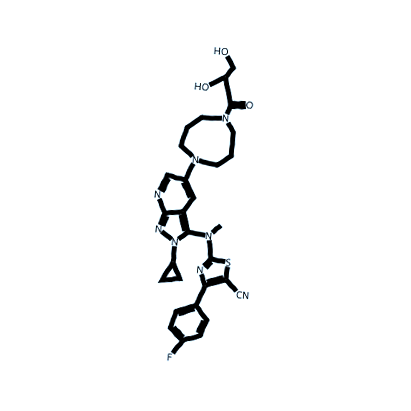 CN(c1nc(-c2ccc(F)cc2)c(C#N)s1)c1c2cc(N3CCCN(C(=O)C(O)CO)CCC3)cnc2nn1C1CC1